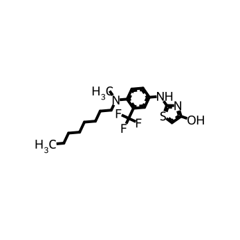 CCCCCCCCN(C)c1ccc(Nc2nc(O)cs2)cc1C(F)(F)F